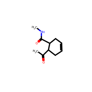 CNC(=O)C1CC=CCC1C(C)=O